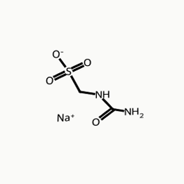 NC(=O)NCS(=O)(=O)[O-].[Na+]